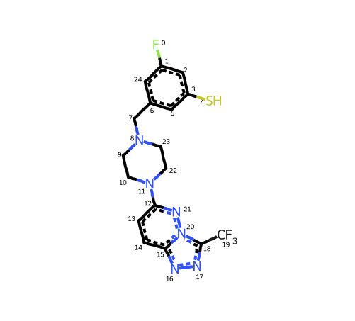 Fc1cc(S)cc(CN2CCN(c3ccc4nnc(C(F)(F)F)n4n3)CC2)c1